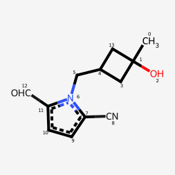 CC1(O)CC(Cn2c(C#N)ccc2C=O)C1